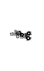 CC(C)(C)OC(=O)N1C2CC(O[Si](c3ccccc3)(c3ccccc3)C(C)(C)C)C(C2)C1CBr